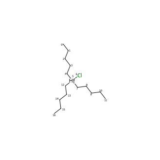 CCCC[CH2][Hf]([Cl])([CH2]CCCC)[CH2]CCCC